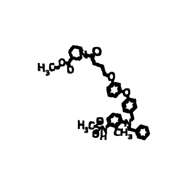 CCOC(=O)C1CCCN(C(=O)CCCOc2cccc(Oc3ccc(CN(Cc4ccccc4)c4cccc(NS(C)(=O)=O)c4C)cc3)c2)C1